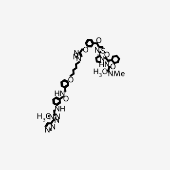 CN[C@@H](C)C(=O)N[C@H](C(=O)N1CCC[C@H]1c1nc(C(=O)c2cccc(OCc3cn(CCCCCCOc4cccc(CNC(=O)c5cccc(NCc6nnc(-c7ccncn7)n6C)c5)c4)nn3)c2)cs1)C1CCCCC1